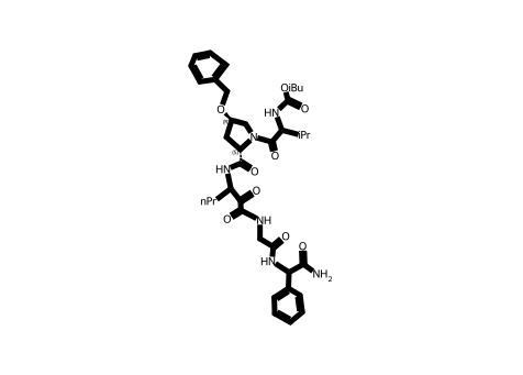 CCCC(NC(=O)[C@@H]1C[C@@H](OCc2ccccc2)CN1C(=O)C(NC(=O)OCC(C)C)C(C)C)C(=O)C(=O)NCC(=O)NC(C(N)=O)c1ccccc1